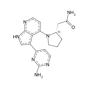 NC(=O)C[C@@H]1CCCN1c1ccnc2[nH]cc(-c3ccnc(N)n3)c12